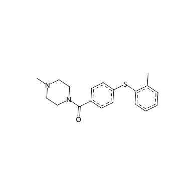 Cc1ccccc1Sc1ccc(C(=O)N2CCN(C)CC2)cc1